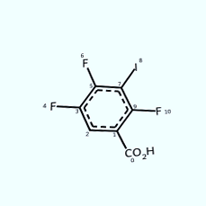 O=C(O)c1cc(F)c(F)c(I)c1F